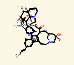 CC[C@]1(O)C[C@H]2CN(CCc3c([nH]c4ccc(/C=C/C(=O)O)cc34)[C@@](C(=O)OC)(c3cc4c(cc3OC)N(C)[C@@]35O[C@]3(C(=O)OC)[C@H](OC(C)=O)[C@]3(CC)C=CCN6CC[C@]45[C@@H]63)C2)C1